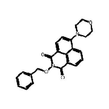 O=C1c2cccc3c(N4CCOCC4)ccc(c23)C(=O)N1OCc1ccccc1